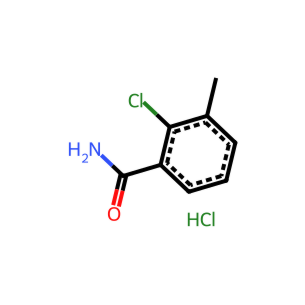 Cc1cccc(C(N)=O)c1Cl.Cl